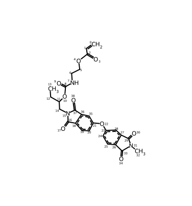 C=CC(=O)OCCNC(=O)OC(CC)CN1C(=O)c2ccc(Oc3ccc4c(c3)C(=O)N(C)C4=O)cc2C1=O